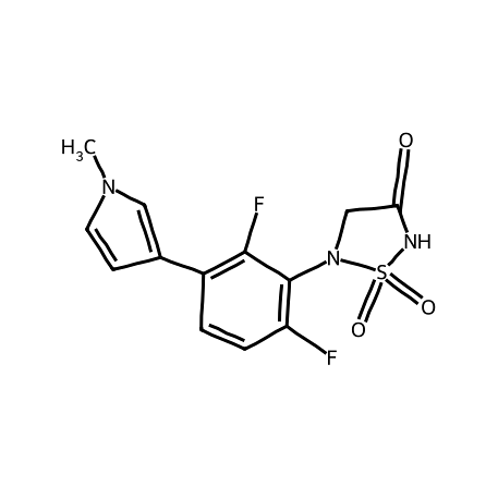 Cn1ccc(-c2ccc(F)c(N3CC(=O)NS3(=O)=O)c2F)c1